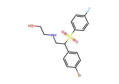 O=S(=O)(c1ccc(F)cc1)C(CNCCO)c1ccc(Br)cc1